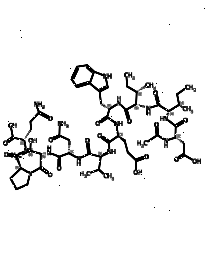 CC[C@H](C)[C@H](NC(=O)[C@H](CC(=O)O)NC(C)=O)C(=O)N[C@H](C(=O)N[C@@H](Cc1c[nH]c2ccccc12)C(=O)N[C@@H](CCC(=O)O)C(=O)N[C@H](C(=O)N[C@@H](CC(N)=O)C(=O)N[C@H](C(=O)N1CCC[C@H]1C(=O)N[C@@H](CCC(N)=O)C(=O)O)[C@@H](C)O)C(C)C)[C@@H](C)CC